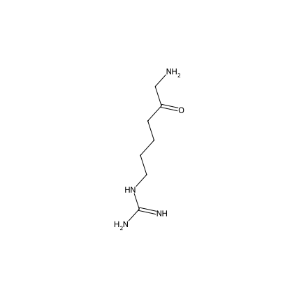 N=C(N)NCCCCC(=O)CN